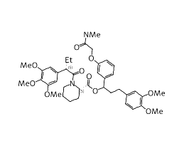 CC[C@H](C(=O)N1CCCC[C@H]1C(=O)OC(CCc1ccc(OC)c(OC)c1)c1cccc(OCC(=O)NC)c1)c1cc(OC)c(OC)c(OC)c1